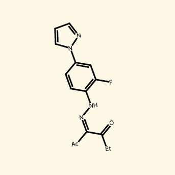 CCC(=O)C(=NNc1ccc(-n2cccn2)cc1F)C(C)=O